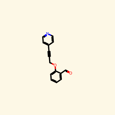 O=Cc1ccccc1OCC#Cc1ccncc1